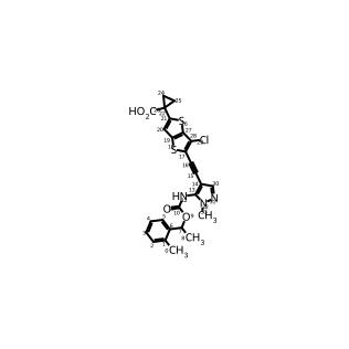 Cc1ccccc1C(C)OC(=O)Nc1c(C#Cc2sc3cc(C4(C(=O)O)CC4)sc3c2Cl)cnn1C